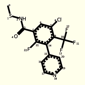 CSNC(=O)c1cc(Cl)c(C(F)(F)F)c(-c2ccncc2)c1F